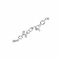 COc1ccc(NC(=O)N2CC3CN(C[C@H](N)COc4ccc(C#N)cc4)CC3C2)cc1